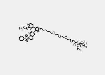 CSc1nccc(-c2cn(CCCCCCOCCOCCOCCOCC(=O)OC(C)(C)C)nc2-c2cnc3c(ccn3S(=O)(=O)c3ccccc3)c2)n1